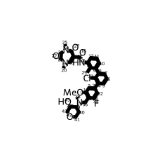 COc1cc(-c2cccc(-c3cccc(NC(=O)C4=CN(C)C5OC5N(C)C4=O)c3C)c2Cl)cc(F)c1CN(C)[C@@H]1CCOC[C@@H]1O